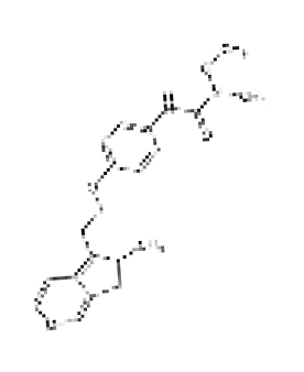 CON(C)C(=O)Nc1ccc(OCCC2=C3C=COC=C3CC2C)cc1